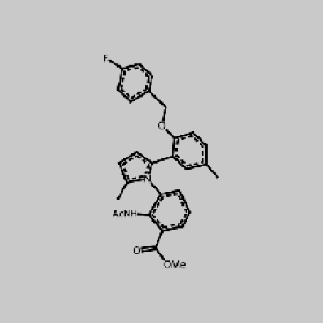 COC(=O)c1cccc(-n2c(C)ccc2-c2cc(C)ccc2OCc2ccc(F)cc2)c1NC(C)=O